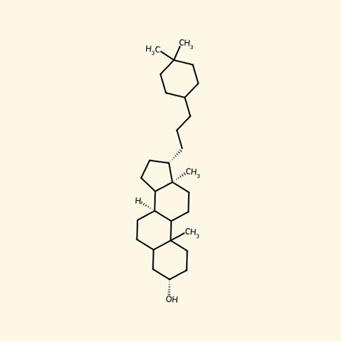 CC1(C)CCC(CCC[C@H]2CCC3[C@@H]4CCC5C[C@@H](O)CCC5(C)C4CC[C@@]32C)CC1